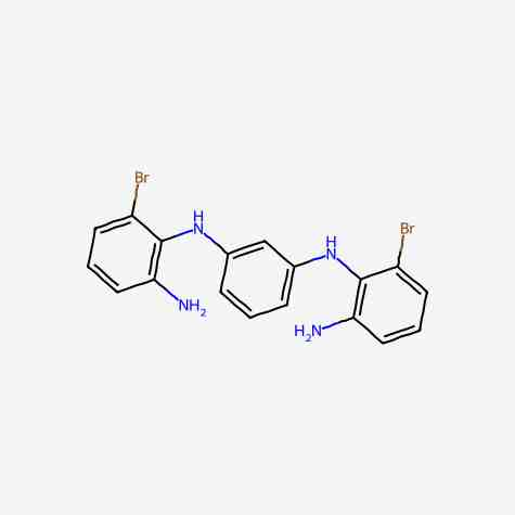 Nc1cccc(Br)c1Nc1cccc(Nc2c(N)cccc2Br)c1